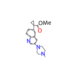 COC(=O)C1(c2ccc3ncc(N4CCN(C)CC4)cc3c2)CC1